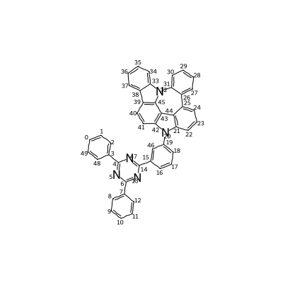 c1ccc(-c2nc(-c3ccccc3)nc(-c3cccc(-n4c5cccc6c7ccccc7n7c8ccccc8c8ccc4c(c65)c87)c3)n2)cc1